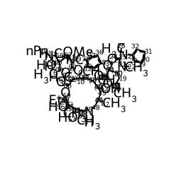 CCCNC[C@]1(O)[C@H](C)O[C@@H](O[C@H]2[C@H](C)[C@@H](O[C@@H]3O[C@H](C)C[C@H](N(C)C(=O)N(C)c4ccccc4)[C@H]3Oc3ccc(C#N)cc3)[C@](C)(O)C[C@@H](C)CN[C@H](C)[C@@H](O)[C@](C)(O)[C@@H](CC)OC(=O)[C@@H]2C)C[C@@]1(C)OC